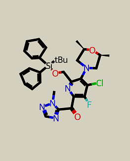 C[C@@H]1CN(c2c(CO[Si](c3ccccc3)(c3ccccc3)C(C)(C)C)nc(C(=O)c3ncnn3C)c(F)c2Cl)C[C@H](C)O1